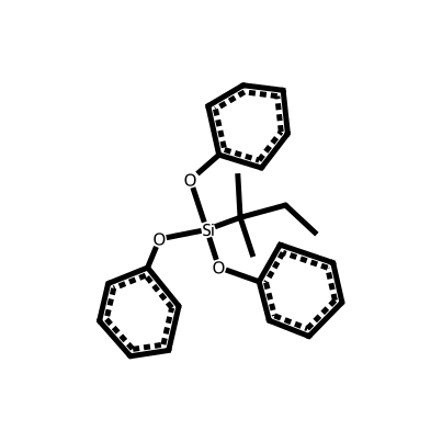 CCC(C)(C)[Si](Oc1ccccc1)(Oc1ccccc1)Oc1ccccc1